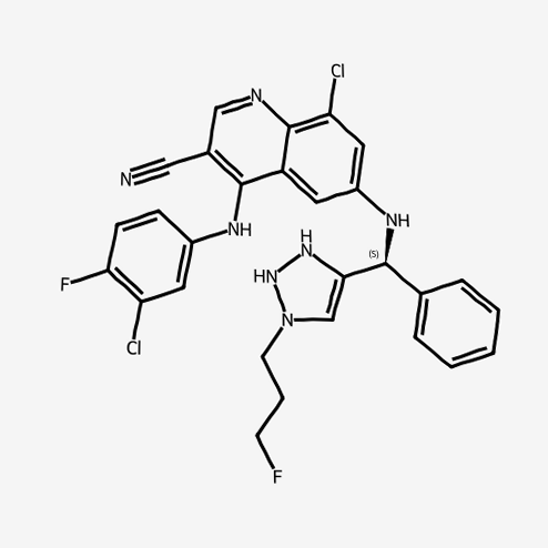 N#Cc1cnc2c(Cl)cc(N[C@H](C3=CN(CCCF)NN3)c3ccccc3)cc2c1Nc1ccc(F)c(Cl)c1